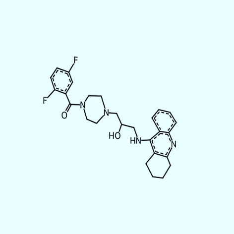 O=C(c1cc(F)ccc1F)N1CCN(CC(O)CNc2c3c(nc4ccccc24)CCCC3)CC1